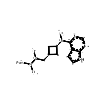 CCCC(C)N(C)[S+]([O-])C[C@H]1C[C@@H](N(C)c2ncnc3[nH]ccc23)C1